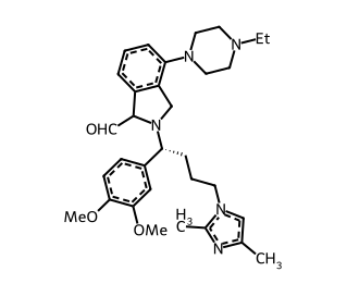 CCN1CCN(c2cccc3c2CN([C@H](CCCn2cc(C)nc2C)c2ccc(OC)c(OC)c2)C3C=O)CC1